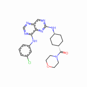 O=C([C@H]1CC[C@H](Nc2ncc3ncnc(Nc4cccc(Cl)c4)c3n2)CC1)N1CCOCC1